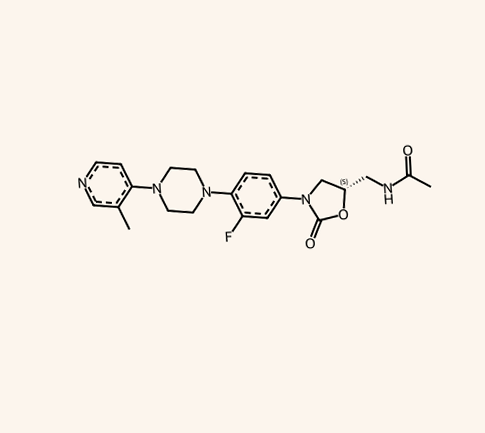 CC(=O)NC[C@H]1CN(c2ccc(N3CCN(c4ccncc4C)CC3)c(F)c2)C(=O)O1